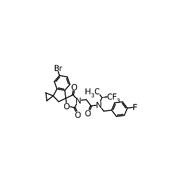 C[C@H](N(Cc1ccc(F)cc1)C(=O)CN1C(=O)OC2(CC3(CC3)c3cc(Br)ccc32)C1=O)C(F)(F)F